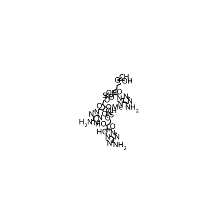 COC1C(COP(O)(=S)OC2CC(CCP(C)(=O)O)OC2n2cnc3c(N)ncnc32)OC(n2cnc3c(N)ncnc32)C1OP(O)(=S)OCC1OC(n2cnc3c(N)ncnc32)[C@H](O)C1O